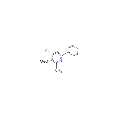 COc1c(Cl)cc(-c2ccccc2)nc1C